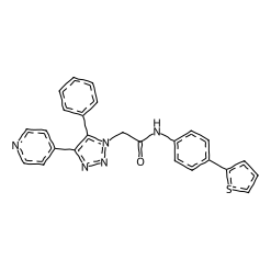 O=C(Cn1nnc(-c2ccncc2)c1-c1ccccc1)Nc1ccc(-c2cccs2)cc1